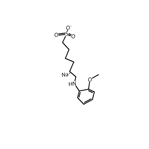 COc1ccccc1NCCCCCCS(=O)(=O)[O-].[Na+]